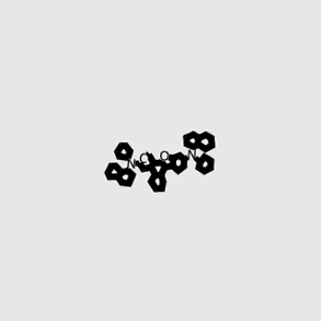 c1ccc(N(c2ccc3c(c2)oc2c4ccc(N(c5ccccc5)c5cccc6ccccc56)cc4c4ccccc4c32)c2cccc3ccccc23)cc1